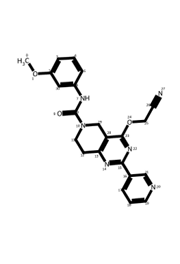 COc1cccc(NC(=O)N2CCc3nc(-c4cccnc4)nc(OCC#N)c3C2)c1